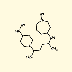 CC(C)NC1CCN(C(C)CCC(C)NC2CCCN(C(C)C)CC2)CC1